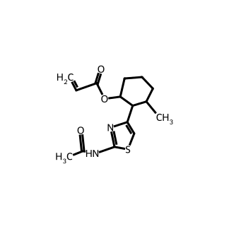 C=CC(=O)OC1CCCC(C)C1c1csc(NC(C)=O)n1